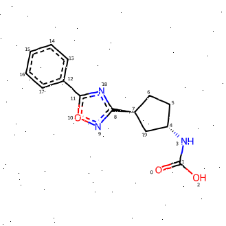 O=C(O)N[C@H]1CC[C@H](c2noc(-c3ccccc3)n2)C1